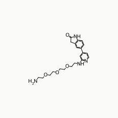 NCCOCCOCCOCCNc1cc(-c2ccc3c(c2)CC(=O)N3)ccn1